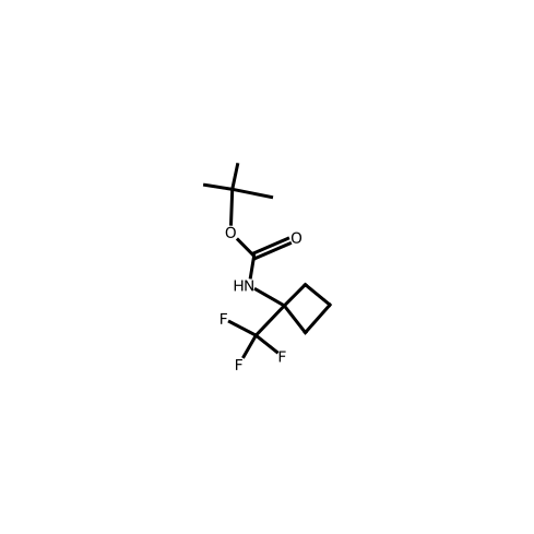 CC(C)(C)OC(=O)NC1(C(F)(F)F)CCC1